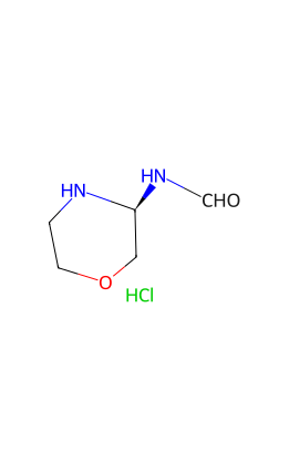 Cl.O=CN[C@H]1COCCN1